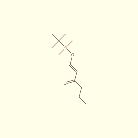 CCCC(=O)C=CO[Si](C)(C)C(C)(C)C